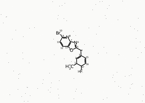 CC1C=C(Cc2nc3nc(Br)ccc3o2)C=CC1F